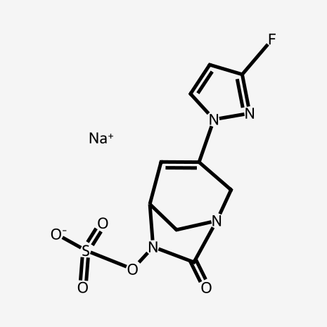 O=C1N2CC(n3ccc(F)n3)=CC(C2)N1OS(=O)(=O)[O-].[Na+]